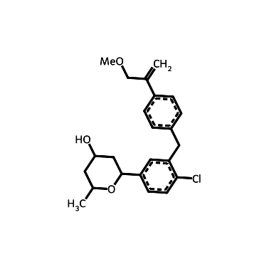 C=C(COC)c1ccc(Cc2cc(C3CC(O)CC(C)O3)ccc2Cl)cc1